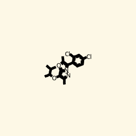 Cc1nn2c(-c3ccc(Cl)cc3Cl)c(C)oc2c1OC(C)C(C)C